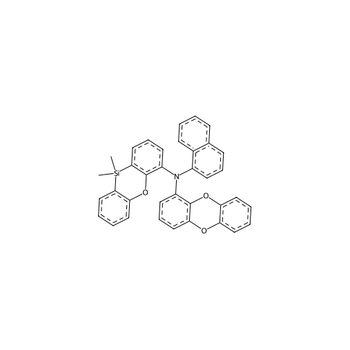 C[Si]1(C)c2ccccc2Oc2c(N(c3cccc4c3Oc3ccccc3O4)c3cccc4ccccc34)cccc21